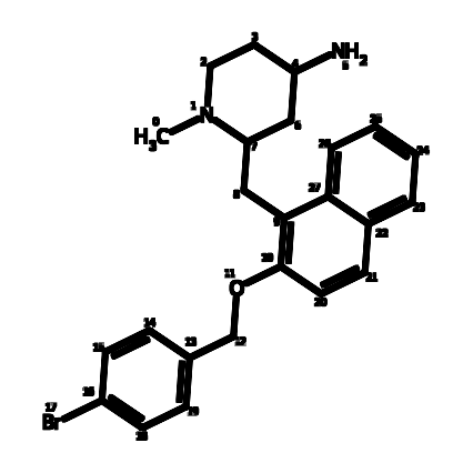 CN1CCC(N)CC1Cc1c(OCc2ccc(Br)cc2)ccc2ccccc12